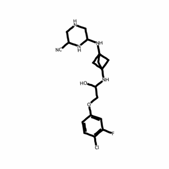 N#CC1CNCC(NC23CC(NC(O)COc4ccc(Cl)c(F)c4)(C2)C3)N1